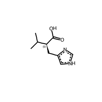 CC(C)[C@H](Cc1c[nH]cn1)C(=O)O